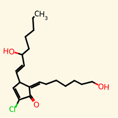 CCCCCC(O)C=CC1C=C(Cl)C(=O)C1=CCCCCCCO